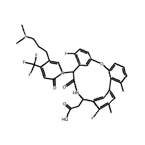 Cc1cc2cc(c1F)C(CC(=O)O)NC(=O)C(n1cc(CCCN(C)C)c(C(F)(F)F)cc1=O)c1cc(ccc1F)Oc1cccc(C)c1-2